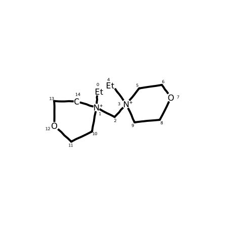 CC[N+]1(C[N+]2(CC)CCOCC2)CCOCC1